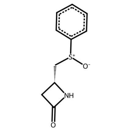 O=C1C[C@H](C[S+]([O-])c2ccccc2)N1